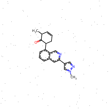 CC1C=CCC(c2cccc3cc(-c4cnn(C)c4)ncc23)C1=O